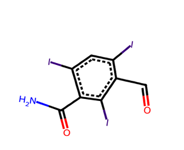 NC(=O)c1c(I)cc(I)c(C=O)c1I